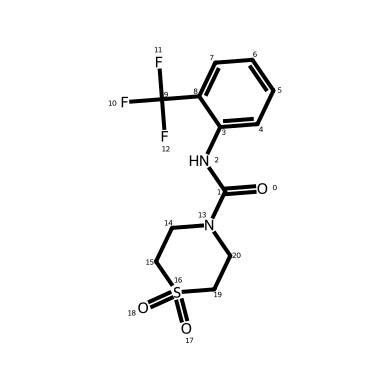 O=C(Nc1ccccc1C(F)(F)F)N1CCS(=O)(=O)CC1